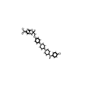 CN(c1ccc(Cl)cc1)C1CCN(C2CCN(c3ccc(OCC4(C)Cn5cc([N+](=O)[O-])nc5O4)cc3)CC2)CC1